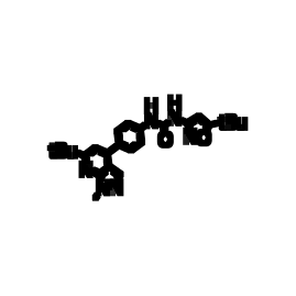 Cn1ncc2c(-c3ccc(NC(=O)Nc4cc(C(C)(C)C)on4)cc3)cc(C(C)(C)C)nc21